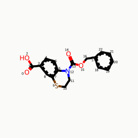 O=C(O)c1ccc2c(c1)SCCN2C(=O)OCc1ccccc1